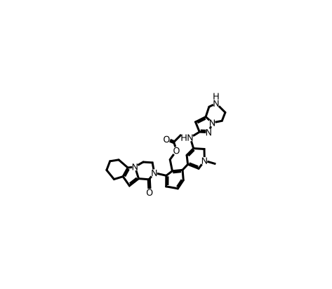 CC(=O)OCc1c(C2=CN(C)CC(Nc3cc4n(n3)CCNC4)=C2)cccc1N1CCn2c(cc3c2CCCC3)C1=O